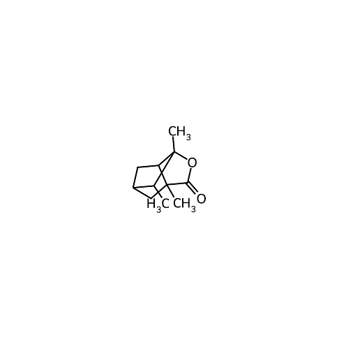 CC1C2CC3C(C)(C2)C(=O)OC13C